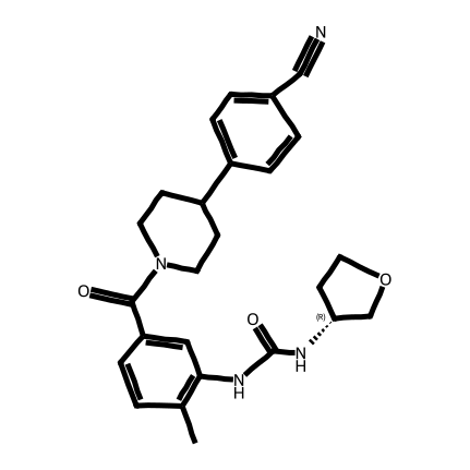 Cc1ccc(C(=O)N2CCC(c3ccc(C#N)cc3)CC2)cc1NC(=O)N[C@@H]1CCOC1